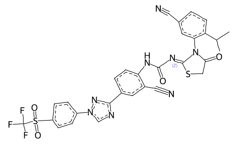 CC(C)c1ccc(C#N)cc1N1C(=O)CS/C1=N\C(=O)Nc1ccc(-c2ncn(-c3ccc(S(=O)(=O)C(F)(F)F)cc3)n2)cc1C#N